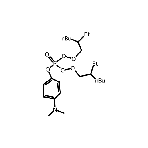 CCCCC(CC)COOP(=O)(OOCC(CC)CCCC)Oc1ccc(N(C)C)cc1